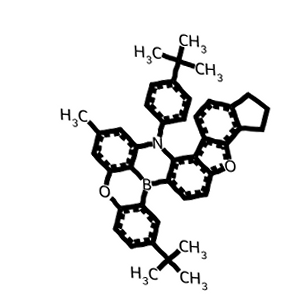 Cc1cc2c3c(c1)N(c1ccc(C(C)(C)C)cc1)c1c(ccc4oc5c6c(ccc5c14)CCC6)B3c1cc(C(C)(C)C)ccc1O2